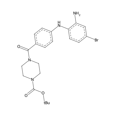 CC(C)(C)OC(=O)N1CCN(C(=O)c2ccc(Nc3ccc(Br)cc3N)cc2)CC1